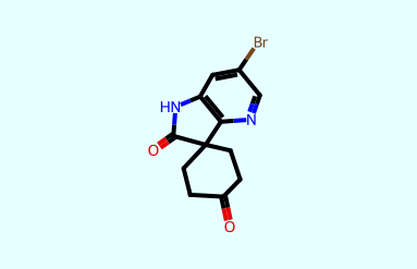 O=C1CCC2(CC1)C(=O)Nc1cc(Br)cnc12